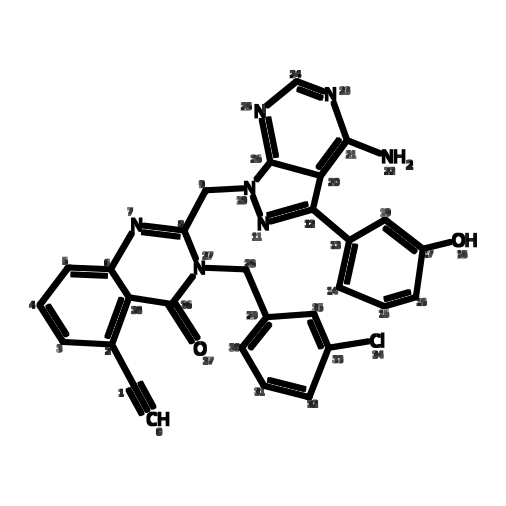 C#Cc1cccc2nc(Cn3nc(-c4cccc(O)c4)c4c(N)ncnc43)n(Cc3cccc(Cl)c3)c(=O)c12